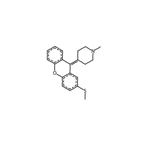 CSc1ccc2c(c1)C(=C1CCN(C)CC1)c1ccccc1O2